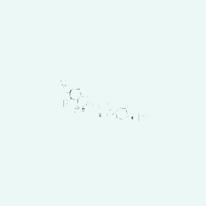 CCCc1ccc(C2CCC(OCc3ccc(CC(C)=O)c(F)c3C(F)F)CO2)cc1